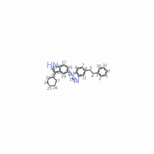 c1ccc(CCc2ccc3c(c2)ncn3-c2ccc3[nH]cc(C4CCCCC4)c3c2)cc1